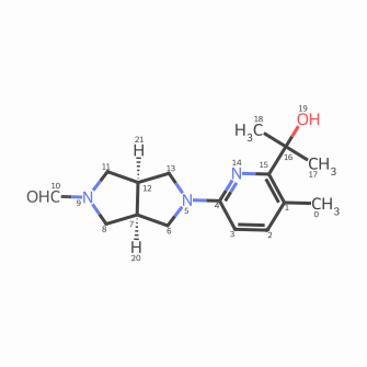 Cc1ccc(N2C[C@H]3CN(C=O)C[C@H]3C2)nc1C(C)(C)O